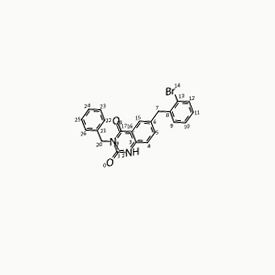 O=c1[nH]c2ccc(Cc3ccccc3Br)cc2c(=O)n1Cc1ccccc1